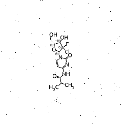 CC(C)C(=O)Nc1ccn([C@@H]2O[C@H](CO)[C@@H](O)[C@]2(F)Cl)c(=O)n1